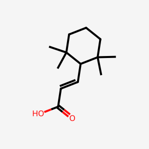 CC1(C)CCCC(C)(C)C1C=CC(=O)O